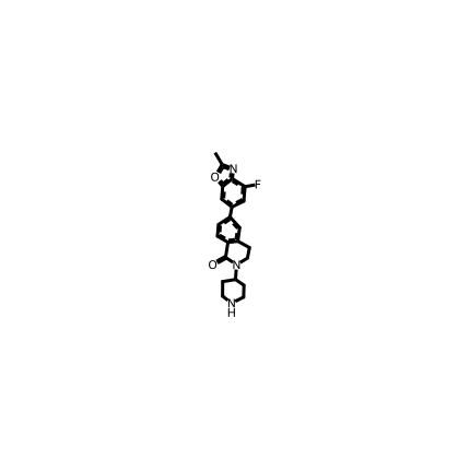 Cc1nc2c(F)cc(-c3ccc4c(c3)CCN(C3CCNCC3)C4=O)cc2o1